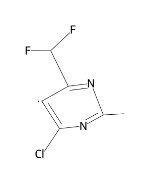 Cc1nc(Cl)[c]c(C(F)F)n1